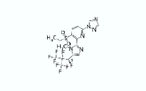 CCS(=O)(=O)c1ccc(-n2cncn2)nc1-c1ncc([C@@H](F)C(F)(C(F)(F)F)C(F)(F)F)n1C